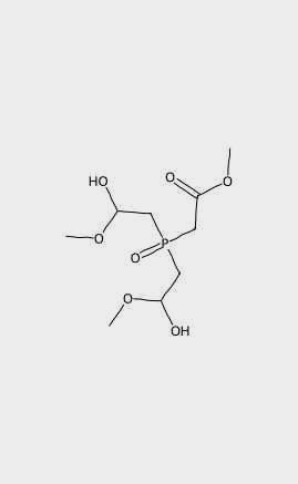 COC(=O)CP(=O)(CC(O)OC)CC(O)OC